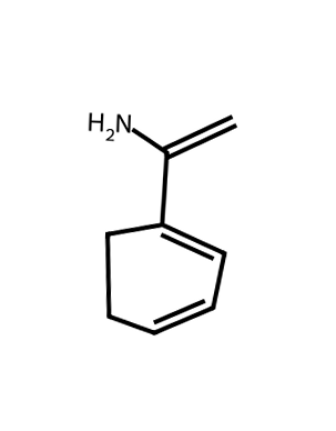 C=C(N)C1=CC=CCC1